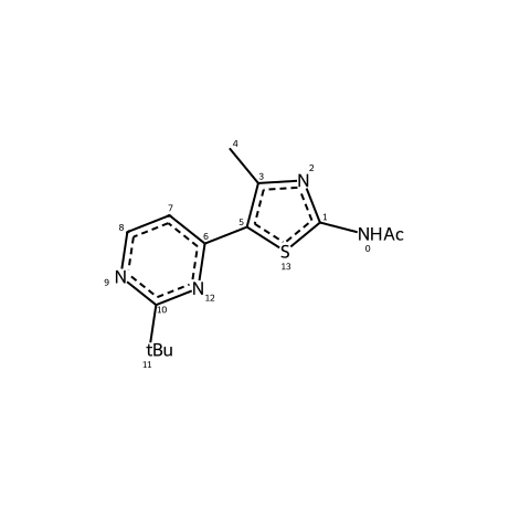 CC(=O)Nc1nc(C)c(-c2ccnc(C(C)(C)C)n2)s1